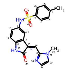 Cc1ccc(S(=O)(=O)Nc2ccc3c(c2)/C(=C/c2nccn2C)C(=O)N3)cc1